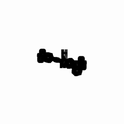 CS(=O)(=O)Nc1ccccc1-c1ccc2[nH]c(C#Cc3ccc(S(C)(=O)=O)cc3)nc2c1